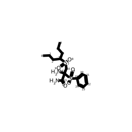 CCCC(CCC)S(=O)(=O)CC(N)(C(N)=O)S(=O)(=O)c1ccccc1